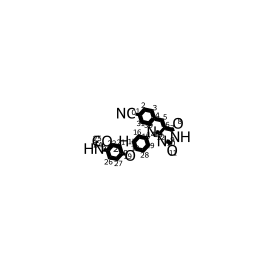 N#Cc1ccc2cc3c(=O)[nH]c(=O)nc-3n(-c3ccc(Oc4ccc(NC(=O)O)cc4)cc3)c2c1